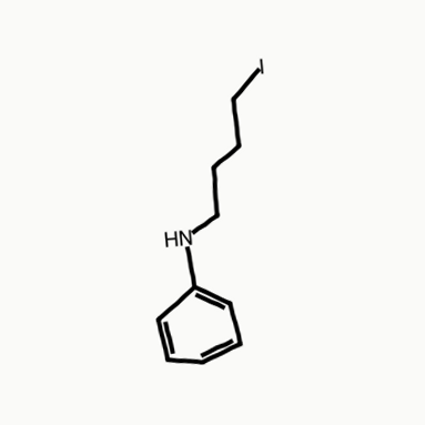 ICCCCNc1ccccc1